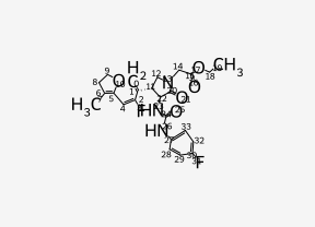 C=C(/C(F)=C\C1=C(C)CCO1)[C@@H]1CN(CC(=O)OCC)C(=O)[C@H]1NC(=O)Nc1ccc(F)cc1